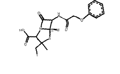 CC1(CI)S[C@H]2C(NC(=O)COc3ccccc3)C(=O)N2C1C(=O)O